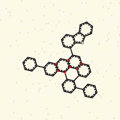 c1ccc(-c2ccc(N(c3cccc(-c4cccc5c4oc4ccccc45)c3)c3cccc(-c4ccccc4)c3-c3ccccc3-c3ccccc3)cc2)cc1